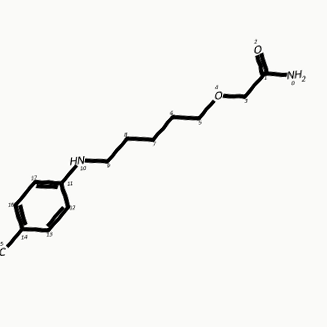 NC(=O)COCCCCCNc1ccc(C(=O)O)cc1